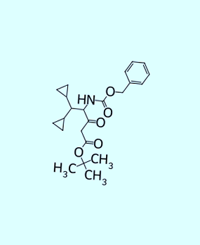 CC(C)(C)OC(=O)CC(=O)C(NC(=O)OCc1ccccc1)C(C1CC1)C1CC1